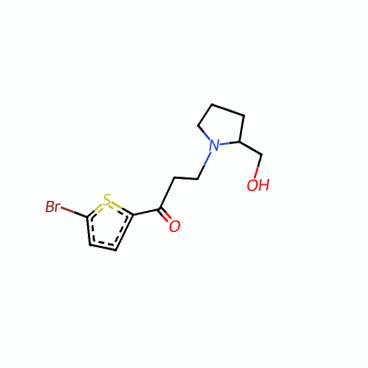 O=C(CCN1CCCC1CO)c1ccc(Br)s1